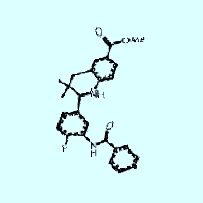 COC(=O)c1ccc2c(c1)CC(C)(C)C(c1ccc(F)c(NC(=O)c3ccccc3)c1)N2